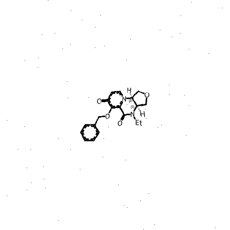 CCN1C(=O)c2c(OCc3ccccc3)c(=O)ccn2[C@H]2COC[C@H]21